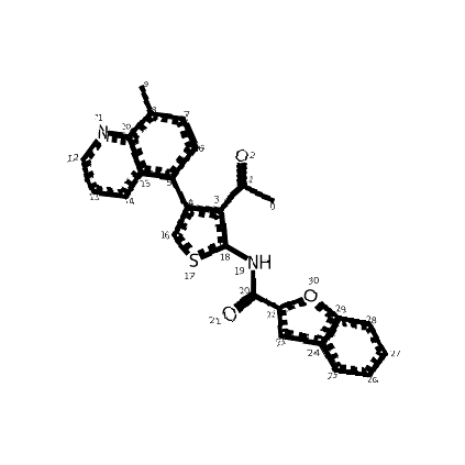 CC(=O)c1c(-c2ccc(C)c3ncccc23)csc1NC(=O)c1cc2ccccc2o1